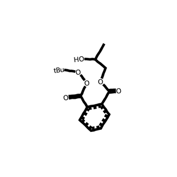 CC(O)COC(=O)c1ccccc1C(=O)OOC(C)(C)C